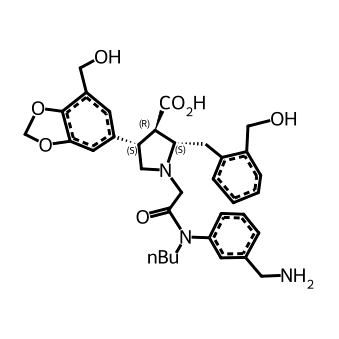 CCCCN(C(=O)CN1C[C@H](c2cc(CO)c3c(c2)OCO3)[C@@H](C(=O)O)[C@@H]1Cc1ccccc1CO)c1cccc(CN)c1